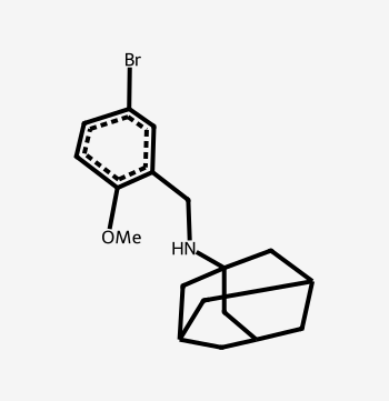 COc1ccc(Br)cc1CNC12CC3CC(CC(C3)C1)C2